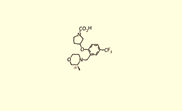 C[C@H]1COCCN1Cc1cc(C(F)(F)F)ccc1OC1CCN(C(=O)O)C1